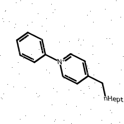 CCCCCCCCc1cc[n+](-c2ccccc2)cc1